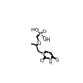 CC(Cn1ccc(=O)[nH]c1=O)OCP(=O)(O)O